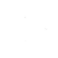 O=[N+]([O-])c1cc(Br)c(OC(F)F)c(Br)c1